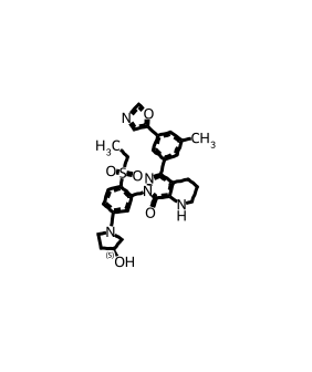 CCS(=O)(=O)c1ccc(N2CC[C@H](O)C2)cc1-n1nc(-c2cc(C)cc(-c3cnco3)c2)c2c(c1=O)NCCC2